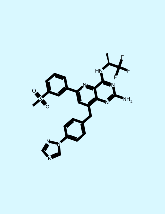 C[C@H](Nc1nc(N)nc2c(Cc3ccc(-n4cncn4)cc3)cc(-c3cccc(S(C)(=O)=O)c3)nc12)C(F)(F)F